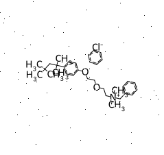 CC(C)(C)CC(C)(C)c1ccc(OCCOCC[N+](C)(C)Cc2ccccc2)cc1.[Cl-].c1ccccc1